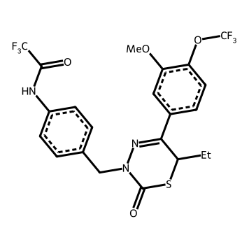 CCC1SC(=O)N(Cc2ccc(NC(=O)C(F)(F)F)cc2)N=C1c1ccc(OC(F)(F)F)c(OC)c1